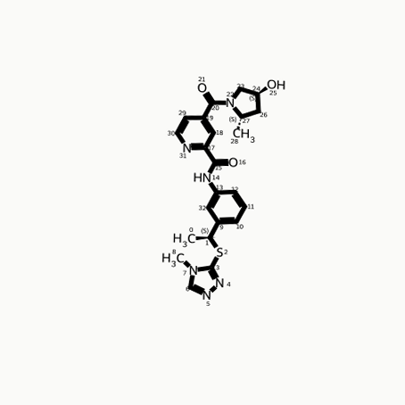 C[C@H](Sc1nncn1C)c1cccc(NC(=O)c2cc(C(=O)N3C[C@@H](O)C[C@@H]3C)ccn2)c1